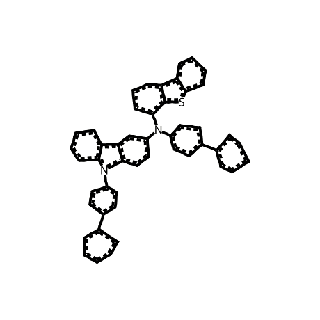 c1ccc(-c2ccc(N(c3ccc4c(c3)c3ccccc3n4-c3ccc(-c4ccccc4)cc3)c3cccc4c3sc3ccccc34)cc2)cc1